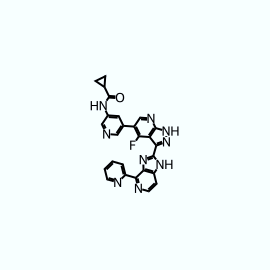 O=C(Nc1cncc(-c2cnc3[nH]nc(-c4nc5c(-c6ccccn6)nccc5[nH]4)c3c2F)c1)C1CC1